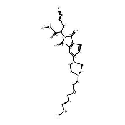 CNCCCOCCN1CCN(c2ccc3c(c2)C(=O)N(C(CCC=O)C(=O)NC)C3=O)CC1